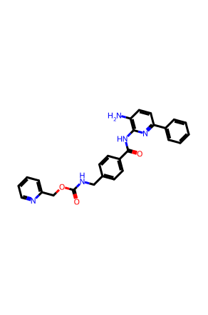 Nc1ccc(-c2ccccc2)nc1NC(=O)c1ccc(CNC(=O)OCc2ccccn2)cc1